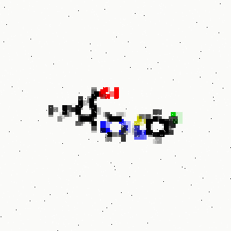 Cc1cc(CO)cc(CN2CCN(c3nc4ccc(Cl)cc4s3)CC2)c1